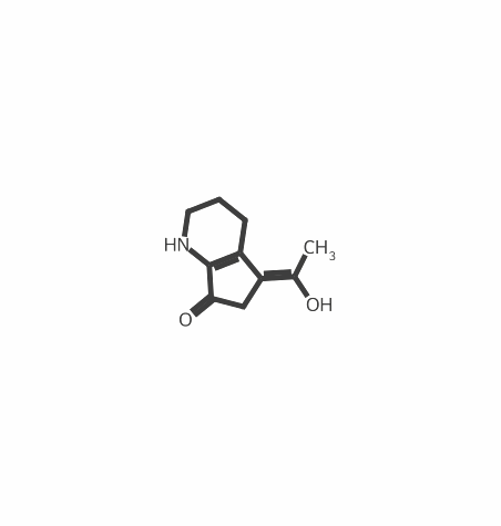 C/C(O)=C1/CC(=O)C2=C1CCCN2